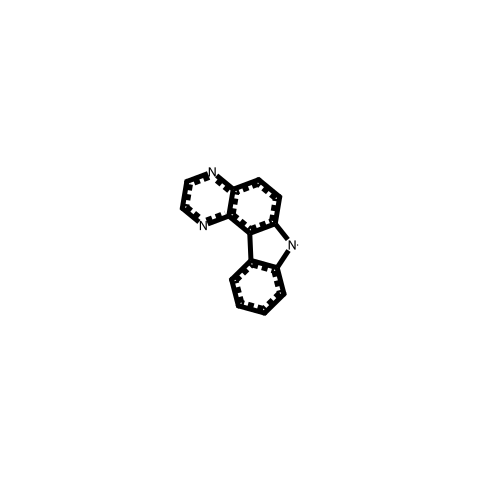 c1ccc2c(c1)[N]c1ccc3nccnc3c1-2